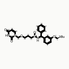 CC[C@H](C)COc1cccc(C(N[S+]([O-])CCCOCn2ccc(=O)[nH]c2=O)c2ccccc2)c1